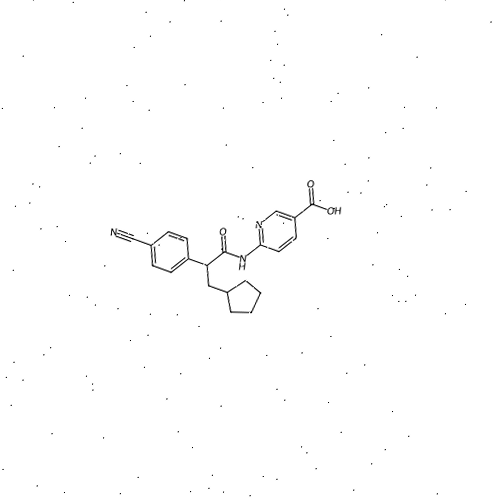 N#Cc1ccc(C(CC2CCCC2)C(=O)Nc2ccc(C(=O)O)cn2)cc1